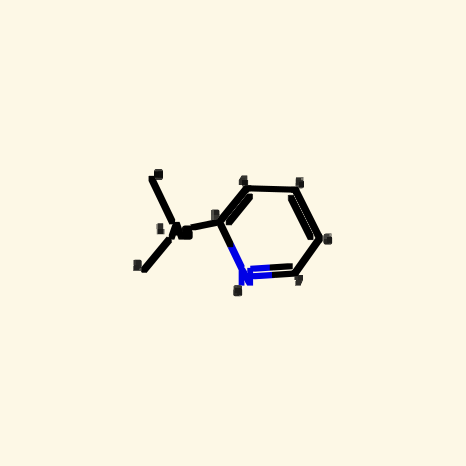 C[As](C)c1ccccn1